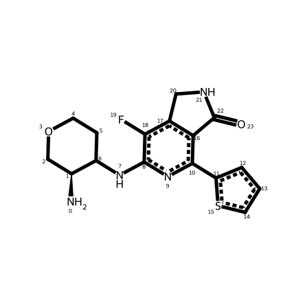 N[C@H]1COCCC1Nc1nc(-c2cccs2)c2c(c1F)CNC2=O